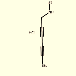 CCNCC#CC#CC(C)(C)C.Cl